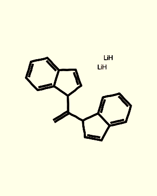 C=C(C1C=Cc2ccccc21)C1C=Cc2ccccc21.[LiH].[LiH]